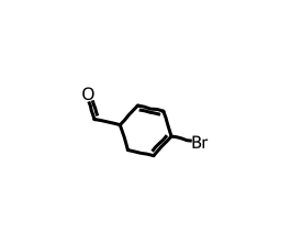 O=CC1C=CC(Br)=CC1